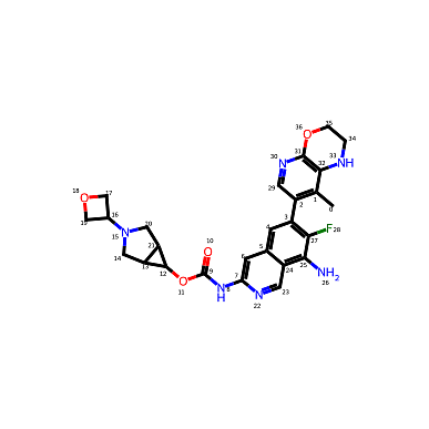 Cc1c(-c2cc3cc(NC(=O)OC4C5CN(C6COC6)CC54)ncc3c(N)c2F)cnc2c1NCCO2